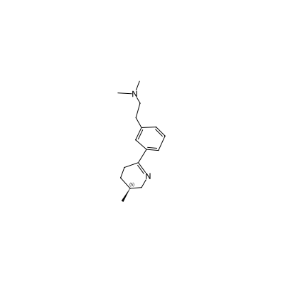 C[C@H]1CCC(c2cccc(CCN(C)C)c2)=NC1